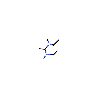 CCN(C)C(C)N(C)CC